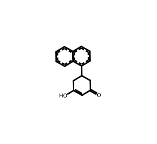 O=C1C=C(O)CC(c2cccc3ccccc23)C1